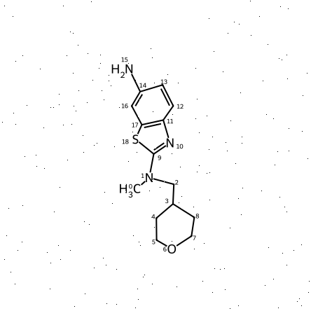 CN(CC1CCOCC1)c1nc2ccc(N)cc2s1